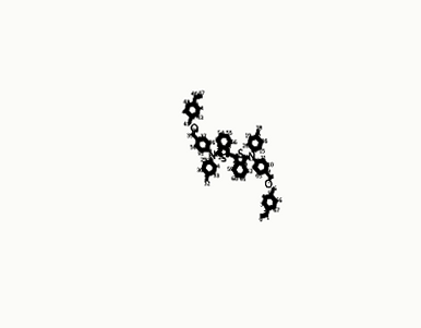 C=Cc1ccc(COCc2ccc(N(c3ccc(C)cc3)c3sc(-c4sc(N(c5ccc(C)cc5)c5ccc(COCc6ccc(C=C)cc6)cc5)c5ccccc45)c4ccccc34)cc2)cc1